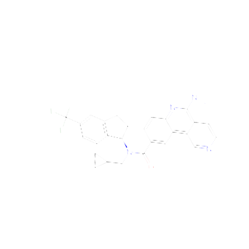 Nc1nc2ccc(C(=O)N(CC3CC3)[C@@H]3CCc4cc(C(F)(F)F)ccc43)cc2c2cnccc12